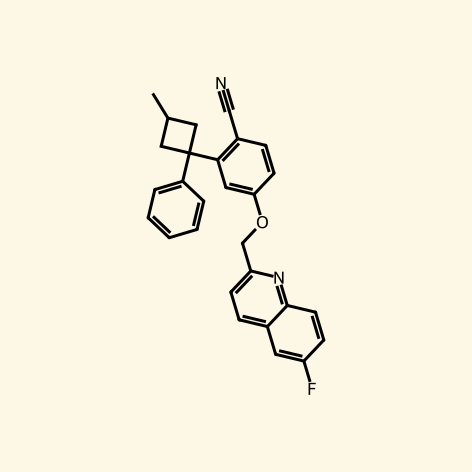 CC1CC(c2ccccc2)(c2cc(OCc3ccc4cc(F)ccc4n3)ccc2C#N)C1